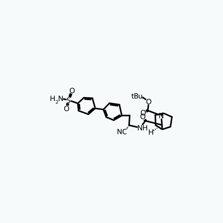 CC(C)(C)OC(=O)N1C2CCC(CC2)[C@H]1C(=O)N[C@H](C#N)Cc1ccc(-c2ccc(S(N)(=O)=O)cc2)cc1